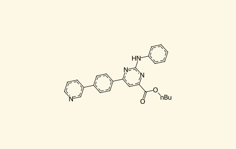 CCCCOC(=O)c1cc(-c2ccc(-c3cccnc3)cc2)nc(Nc2ccccc2)n1